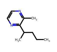 CCCC(C)c1nccnc1C